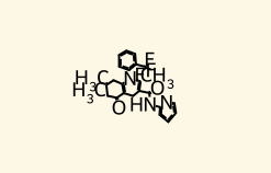 CC1=C(C(=O)Nc2ccccn2)CC2=C(CC(C)(C)CC2=O)N1c1ccccc1C(F)(F)F